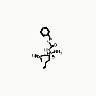 C=CCCC(C[SiH](C)C(C)(C)C)[SH](N)(=O)NC(=O)O[C@@H](C)c1ccccc1